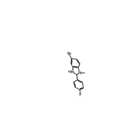 CN1c2ccc(Br)cc2NC1c1ccc(F)cc1